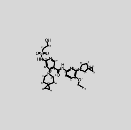 O=C(Nc1ccc(OCF)c(N2CCC3(CC3)C2)n1)c1cnc(NS(=O)(=O)CCO)cc1N1CCC2(CC1)CC2